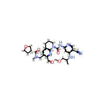 COCC(C)Nc1cc(NC(=O)N2CCCc3cc(CN(C)C(=O)[C@@H]4CCOC4)c(C=O)nc32)ncc1C#N